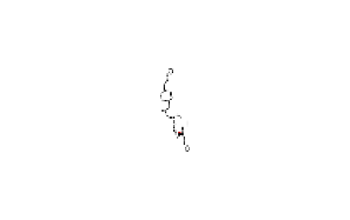 CC(CC1CCC(CCC=O)CC1)CC1CC[C@@H]2C1C1CC(CC=O)C2[C@@H]1C